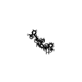 CC(=O)c1ccccc1NCC(=O)Nn1cnc2ccc(S(=O)(=O)Nc3ccccc3C(C)=O)cc2c1=O